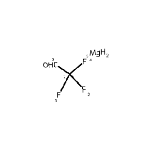 O=CC(F)(F)F.[MgH2]